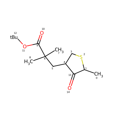 CC1SCC(CC(C)(C)C(=O)OC(C)(C)C)C1=O